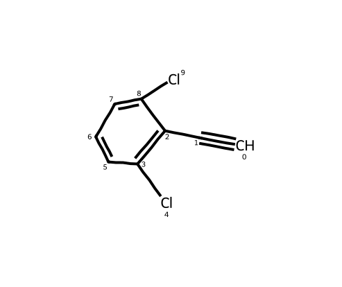 C#Cc1c(Cl)cccc1Cl